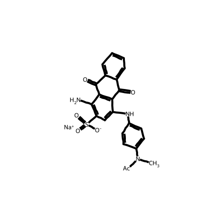 CC(=O)N(C)c1ccc(Nc2cc(S(=O)(=O)[O-])c(N)c3c2C(=O)c2ccccc2C3=O)cc1.[Na+]